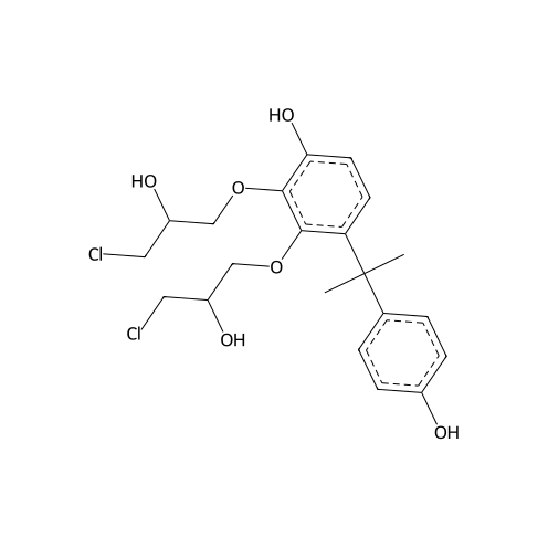 CC(C)(c1ccc(O)cc1)c1ccc(O)c(OCC(O)CCl)c1OCC(O)CCl